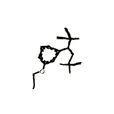 CCOc1cccc(C(CC(C)(C)C)C(C)(C)C)c1